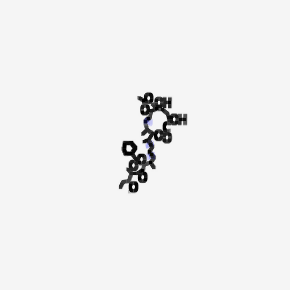 CCC(OC)C(C)C1OC1C(OC(=O)c1ccccc1)C(C)/C=C/C=C(\C)C1OC(=O)CC(O)CCC(C)(O)C(OC(C)=O)/C=C/C1C